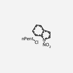 CCCCCCl.O=[N+]([O-])n1ccc2ccccc21